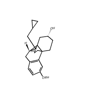 COc1ccc2c(c1)C13CC[C@@H](O)C[C@@]1(O)[C@@H](C2)N(CC1CC1)CC3